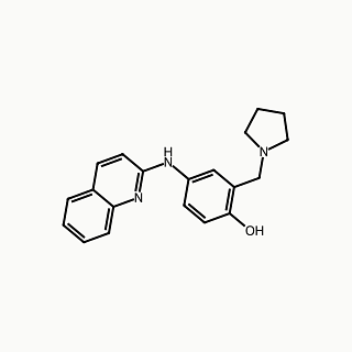 Oc1ccc(Nc2ccc3ccccc3n2)cc1CN1CCCC1